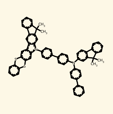 CC1(C)c2ccccc2-c2ccc(N(c3ccc(-c4ccccc4)cc3)c3ccc(-c4ccc(-n5c6cc7c(cc6c6cc8c(cc65)C(C)(C)c5ccccc5-8)Sc5ccccc5S7)cc4)cc3)cc21